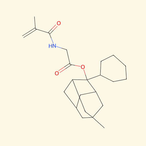 C=C(C)C(=O)NCC(=O)OC1(C2CCCCC2)C2CC3CC1CC(C)(C3)C2